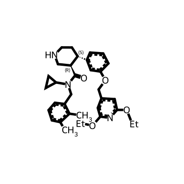 CCOc1cc(COc2cccc([C@H]3CCNC[C@@H]3C(=O)N(Cc3cccc(C)c3C)C3CC3)c2)cc(OCC)n1